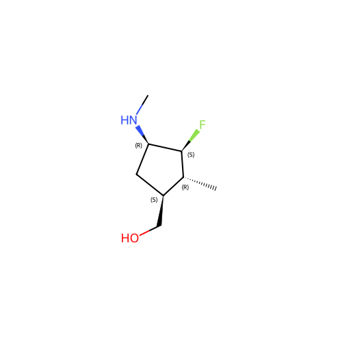 CN[C@@H]1C[C@H](CO)[C@@H](C)[C@@H]1F